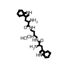 Cl.Cl.NC(Cc1c[nH]c2ccccc12)C(=O)NCCCCNC(=O)C(N)Cc1c[nH]c2ccccc12